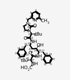 Cc1cccc(CN2CCN([C@H](C(=O)N[C@@H](Cc3ccccc3)C[C@H](O)[C@H](Cc3ccccc3)NC(=O)[C@@H](NC(=O)O)C(C)(C)C)C(C)(C)C)C2=O)n1